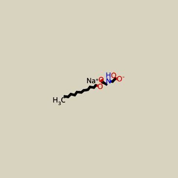 CCCCCCCCCCCCOC(=O)CNCC(=O)[O-].[Na+]